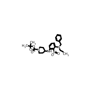 CCCN(Cc1ccccc1)c1cccc(NC2CCN(C(=O)OC(C)(C)C)CC2)c1[N+](=O)[O-]